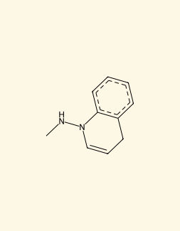 CNN1C=CCc2ccccc21